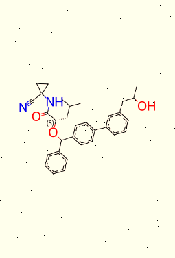 CC(C)C[C@H](OC(c1ccccc1)c1ccc(-c2cccc(CC(C)O)c2)cc1)C(=O)NC1(C#N)CC1